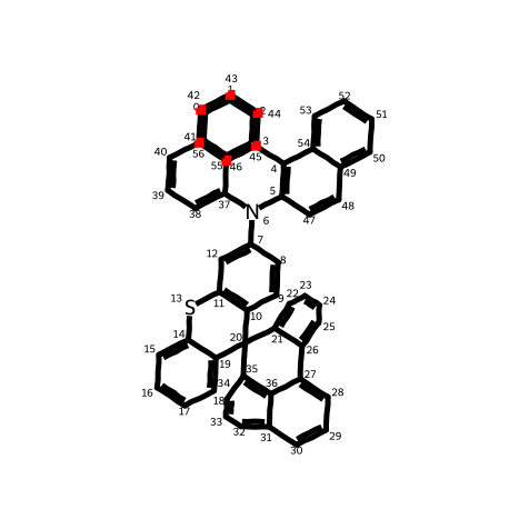 c1ccc(-c2c(N(c3ccc4c(c3)Sc3ccccc3C43c4ccccc4-c4cccc5cccc3c45)c3cccc4ccccc34)ccc3ccccc23)cc1